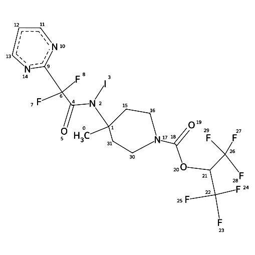 CC1(N(I)C(=O)C(F)(F)c2ncccn2)CCN(C(=O)OC(C(F)(F)F)C(F)(F)F)CC1